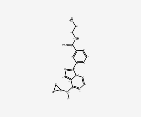 CN(c1nccn2c(-c3cccc(C(=O)NCCO)c3)cnc12)C1CC1